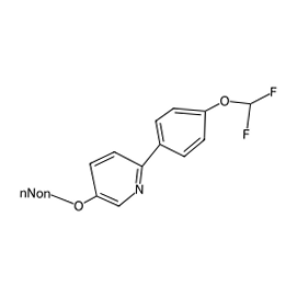 CCCCCCCCCOc1ccc(-c2ccc(OC(F)F)cc2)nc1